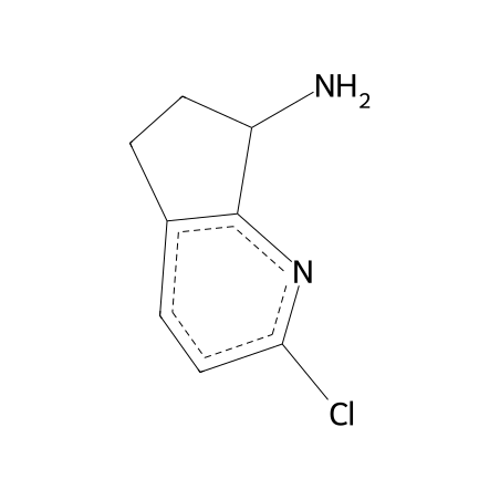 NC1CCc2ccc(Cl)nc21